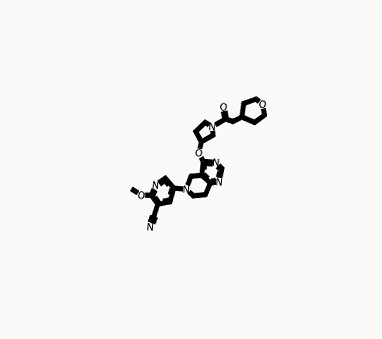 COc1ncc(N2CCc3ncnc(OC4CCN(C(=O)CC5CCOCC5)C4)c3C2)cc1C#N